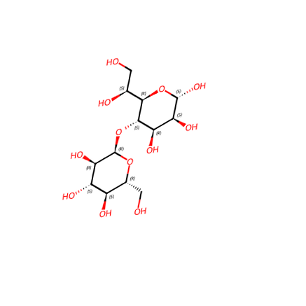 OC[C@H](O)[C@H]1O[C@H](O)[C@@H](O)[C@@H](O)[C@@H]1O[C@H]1O[C@H](CO)[C@@H](O)[C@H](O)[C@H]1O